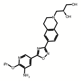 CC(C)Oc1ncc(-c2nc(-c3ccc4c(c3)CCN(C[C@H](O)CO)C4)no2)cc1N